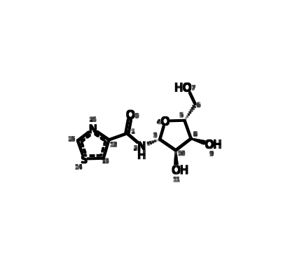 O=C(N[C@@H]1O[C@H](CO)[C@@H](O)[C@H]1O)c1cscn1